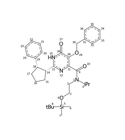 CC(C)N(CCO[Si](C)(C)C(C)(C)C)C(=O)c1nc([C@@H]2CCC[C@@H]2c2ccccc2)[nH]c(=O)c1OCc1ccccc1